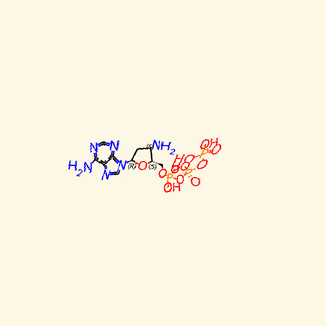 Nc1ncnc2c1ncn2[C@H]1C[C@H](N)[C@@H](COP(=O)(O)OP(=O)(O)OP(=O)(O)O)O1